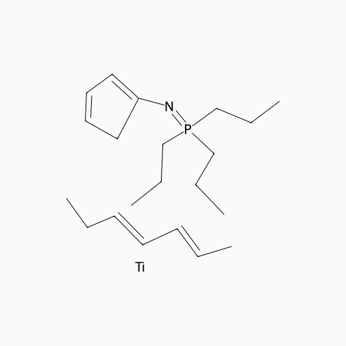 CC=CC=CCC.CCCP(CCC)(CCC)=NC1=CC=CC1.[Ti]